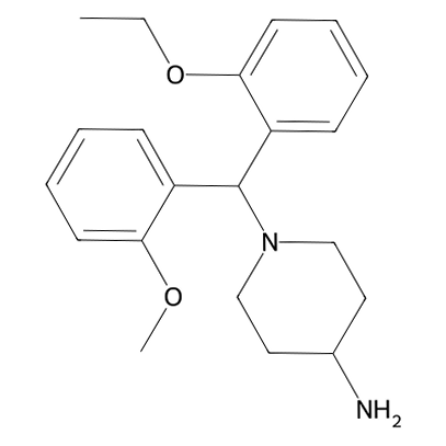 CCOc1ccccc1C(c1ccccc1OC)N1CCC(N)CC1